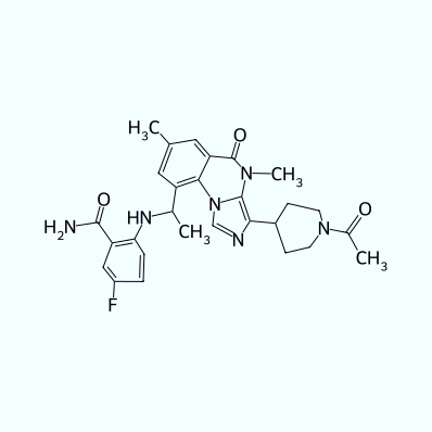 CC(=O)N1CCC(c2ncn3c4c(C(C)Nc5ccc(F)cc5C(N)=O)cc(C)cc4c(=O)n(C)c23)CC1